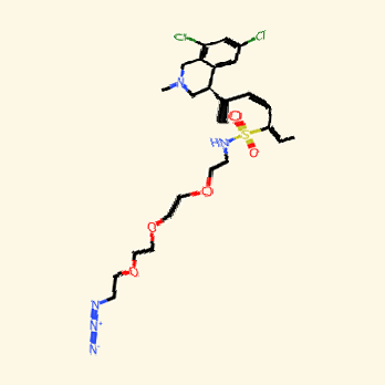 C=C(/C=C\C(=C/C)S(=O)(=O)NCCOCCOCCOCCN=[N+]=[N-])[C@H]1CN(C)Cc2c(Cl)cc(Cl)cc21